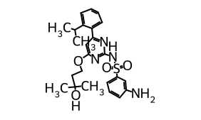 CC(C)c1ccccc1-c1cc(OCCC(C)(C)O)nc(NS(=O)(=O)c2cccc(N)c2)n1